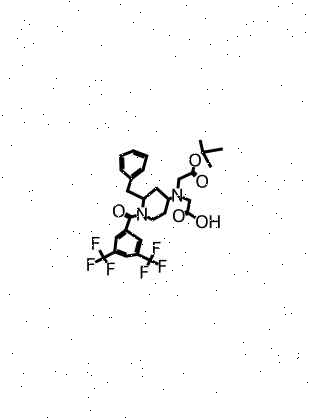 CC(C)(C)OC(=O)CN(CC(=O)O)C1CCN(C(=O)c2cc(C(F)(F)F)cc(C(F)(F)F)c2)C(Cc2ccccc2)C1